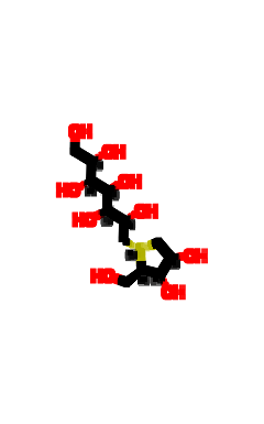 OC[C@@H]1[C@@H](O)[C@H](O)C[S@@+]1C[C@@H](O)[C@@H](O)[C@H](O)[C@H](O)[C@@H](O)CO